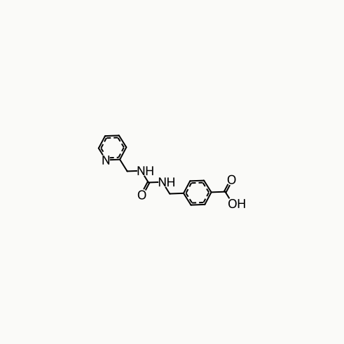 O=C(NCc1ccc(C(=O)O)cc1)NCc1ccccn1